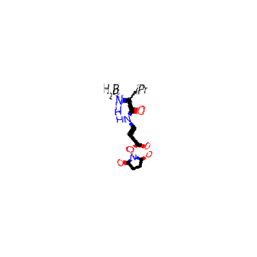 BN[C@H](C(=O)NCCC(=O)ON1C(=O)CCC1=O)C(C)C